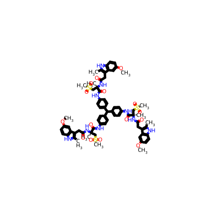 COc1ccc2[nH]c(C)c(CC(=O)N[C@](C)(CS(C)(=O)=O)C(=O)Nc3ccc(C(c4ccc(NC(=O)[C@@](C)(CS(C)(=O)=O)NC(=O)Cc5c(C)[nH]c6ccc(OC)cc56)cc4)c4ccc(NC(=O)[C@@](C)(CS(C)(=O)=O)NC(=O)Cc5c(C)[nH]c6ccc(OC)cc56)cc4)cc3)c2c1